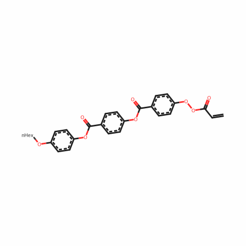 C=CC(=O)OOc1ccc(C(=O)Oc2ccc(C(=O)Oc3ccc(OCCCCCC)cc3)cc2)cc1